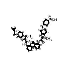 Cn1c(C(=O)Nc2cccc(-c3cccc(NC(=O)c4nc5c(n4C)CCN(C[C@H]4CC[C@@H](C(=O)O)CC4)C5)c3Cl)c2Cl)nc2c1CCN(CC1CC1)C2